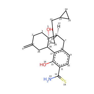 C=C1CC[C@@]2(O)[C@H]3Cc4ccc(C(N)=S)c(O)c4[C@@]2(CCC3CC2CC2)C1